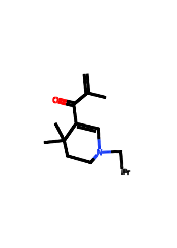 C=C(C)C(=O)C1=CN(CC(C)C)CCC1(C)C